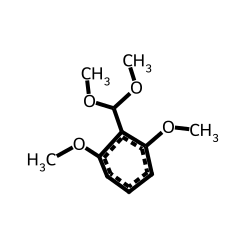 COc1cccc(OC)c1C(OC)OC